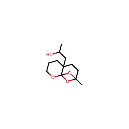 CC(O)CC12CCCOC13OC(C)(CC2)O3